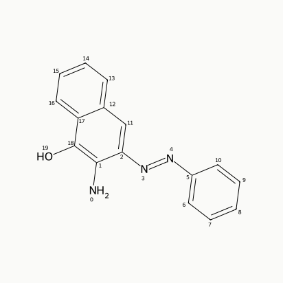 Nc1c(N=Nc2ccccc2)cc2ccccc2c1O